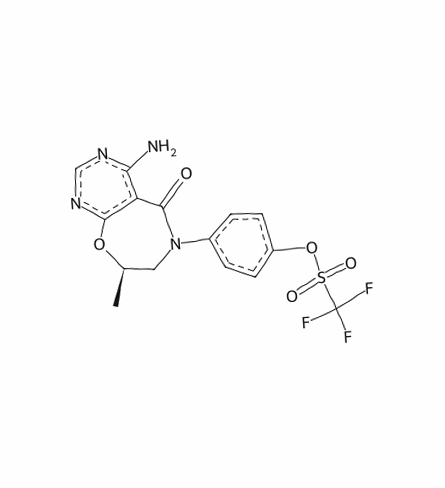 C[C@@H]1CN(c2ccc(OS(=O)(=O)C(F)(F)F)cc2)C(=O)c2c(N)ncnc2O1